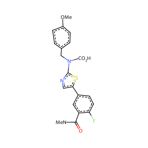 CNC(=O)c1cc(-c2cnc(N(Cc3ccc(OC)cc3)C(=O)O)s2)ccc1F